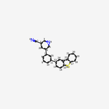 N#Cc1cncc(-c2cccc(-c3ccc4sc5ccccc5c4c3)c2)c1